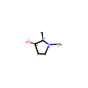 C[C@@H]1[C@H](O)CCN1C(C)(C)C